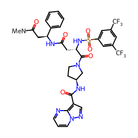 CNC(=O)C[C@H](NC(=O)C[C@H](NS(=O)(=O)c1cc(C(F)(F)F)cc(C(F)(F)F)c1)C(=O)N1CC[C@H](NC(=O)c2cnn3cccnc23)C1)c1ccccc1